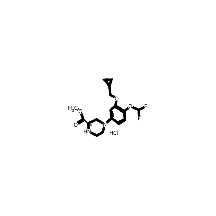 COC(=O)[C@H]1CN(c2ccc(OC(F)F)c(OCC3CC3)c2)CCN1.Cl